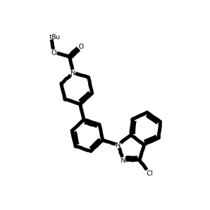 CC(C)(C)OC(=O)N1CC=C(c2cccc(-n3nc(Cl)c4ccccc43)c2)CC1